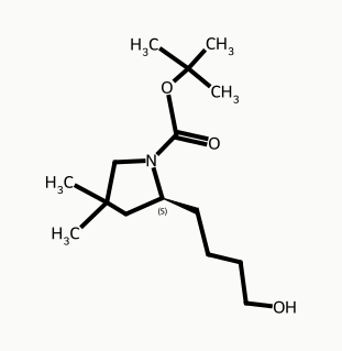 CC1(C)C[C@H](CCCCO)N(C(=O)OC(C)(C)C)C1